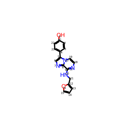 Oc1ccc(-c2cnc3c(NCc4ccco4)nccn23)cc1